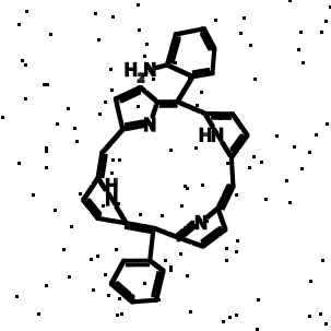 Nc1ccccc1-c1c2nc(cc3ccc([nH]3)c(-c3ccccc3)c3nc(cc4ccc1[nH]4)C=C3)C=C2